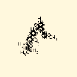 COc1cncc(-c2cc3cc[nH]c(=O)c3c(Nc3ccc(C4CCN(C(C)C(=O)NC(C)C)CC4)c(C)c3)n2)n1